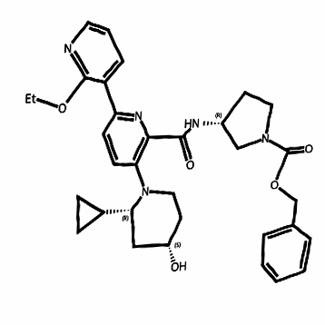 CCOc1ncccc1-c1ccc(N2CC[C@H](O)C[C@@H]2C2CC2)c(C(=O)N[C@@H]2CCN(C(=O)OCc3ccccc3)C2)n1